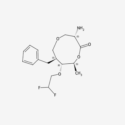 C[C@@H]1OC(=O)[C@@H](N)COC[C@H](Cc2ccccc2)[C@H]1OCC(F)F